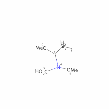 COC([SiH2]C)N(OC)C(=O)O